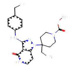 CC(C)(C)OC(=O)N1CCC(CC#N)(n2nc(Nc3ccc(CC(F)(F)F)cc3)c3c(=O)[nH]ccc32)CC1